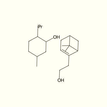 CC1(C)C2CC=C(CCO)C1C2.CC1CCC(C(C)C)C(O)C1